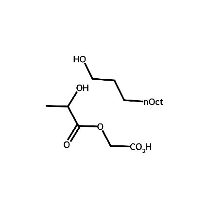 CC(O)C(=O)OCC(=O)O.CCCCCCCCCCCO